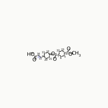 COC(=O)c1ccc(C(=O)Oc2ccc(/C=C/C(=O)O)cc2)cc1